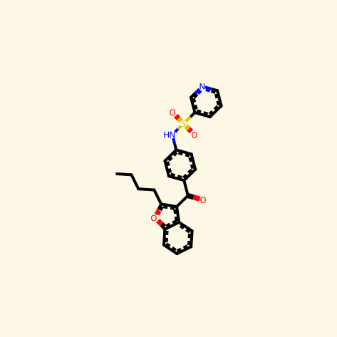 CCCCc1oc2ccccc2c1C(=O)c1ccc(NS(=O)(=O)c2cccnc2)cc1